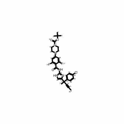 CC(C)(C)OC(=O)N1CCN(c2cc(F)c(C(=O)Nc3nc(C(C)(C#CI)c4ccc(Cl)cc4)c[nH]3)c(F)c2)CC1